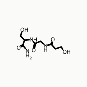 NC(=O)C(CO)NC(=O)CNC(=O)CCO